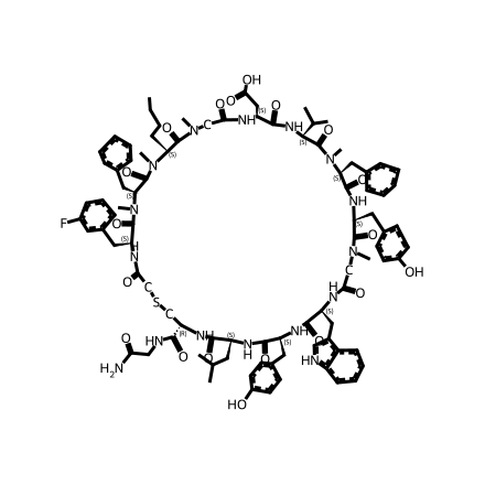 CCCC[C@H]1C(=O)N(C)CC(=O)N[C@@H](CC(=O)O)C(=O)N[C@@H](C(C)C)C(=O)N(C)[C@@H](Cc2ccccc2)C(=O)N[C@@H](Cc2ccc(O)cc2)C(=O)N(C)CC(=O)N[C@@H](Cc2c[nH]c3ccccc23)C(=O)N[C@@H](Cc2ccc(O)cc2)C(=O)N[C@@H](CC(C)C)C(=O)N[C@H](C(=O)NCC(N)=O)CSCC(=O)N[C@@H](Cc2cccc(F)c2)C(=O)N(C)[C@@H](Cc2ccccc2)C(=O)N1C